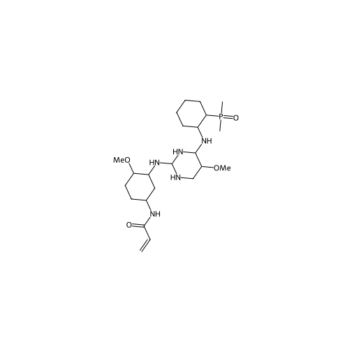 C=CC(=O)NC1CCC(OC)C(NC2NCC(OC)C(NC3CCCCC3P(C)(C)=O)N2)C1